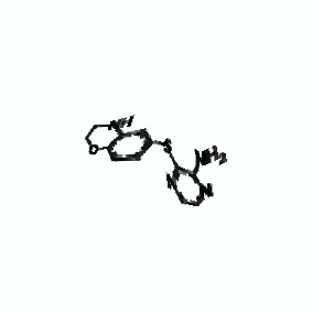 Nc1nccnc1Sc1ccc2c(c1)NCCO2